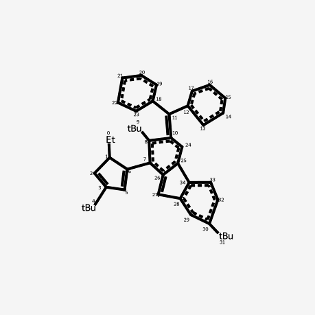 CCC1C=C(C(C)(C)C)C=C1c1c(C(C)(C)C)c(=C(c2ccccc2)c2ccccc2)cc2c1=[C]c1cc(C(C)(C)C)ccc1-2